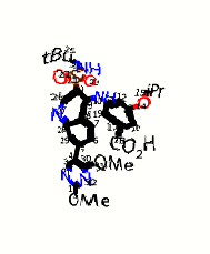 COc1ncc(-c2ccc3c(Nc4cc(OC(C)C)cc(C(=O)O)c4)c(S(=O)(=O)NC(C)(C)C)cnc3c2)c(OC)n1